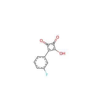 O=c1c(O)c(-c2cccc(F)c2)c1=O